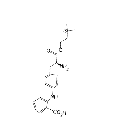 C[Si](C)(C)CCOC(=O)[C@@H](N)Cc1ccc(Nc2ccccc2C(=O)O)cc1